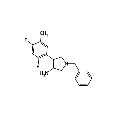 Cc1cc(C2CN(Cc3ccccc3)CC2N)c(F)cc1F